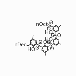 CCCCCCCCCCCc1cc(C)cc(S(=O)(=O)c2cc(C)cc(S(=O)(=O)c3cc(C)cc(S(=O)(=O)c4cc(C)cc(S(=O)(=O)CCCCCCCC)c4O)c3O)c2O)c1O